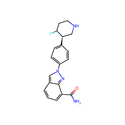 NC(=O)c1cccc2cn(-c3ccc([C@@H]4CNCC[C@@H]4F)cc3)nc12